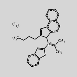 CCCCC1=Cc2c(ccc3ccccc23)[CH]1[Zr+2]([C]1=Cc2ccccc2C1)=[Si](C)C.[Cl-].[Cl-]